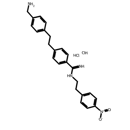 Cl.Cl.N=C(NCCc1ccc([N+](=O)[O-])cc1)c1ccc(CCc2ccc(CN)cc2)cc1